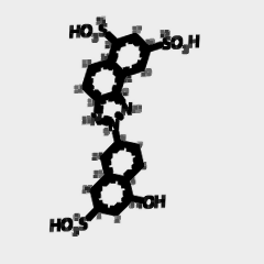 O=S(=O)(O)c1cc(O)c2ccc(-n3nc4ccc5c(S(=O)(=O)O)cc(S(=O)(=O)O)cc5c4n3)cc2c1